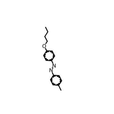 CCCCOc1ccc(N=Nc2ccc(C)cc2)cc1